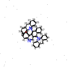 c1ccc2c(c1)Cc1ccccc1N2c1c2ccccc2c(N2c3ccccc3Cc3ccccc32)c2c1cnc1ccccc12